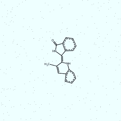 CC1=Cc2ccccc2NC1=C1NC(=O)c2ccccc21